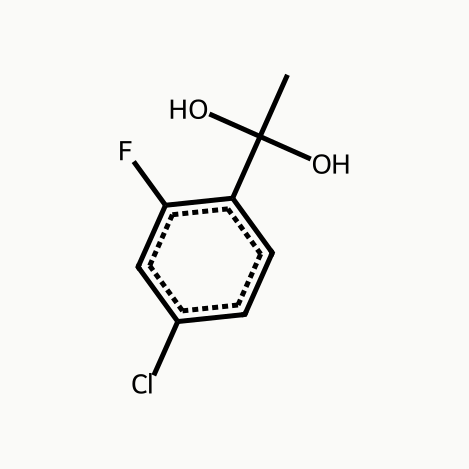 CC(O)(O)c1ccc(Cl)cc1F